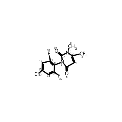 Cn1c(C(F)(F)F)cc(=O)n(-c2c(F)cc(Cl)cc2F)c1=O